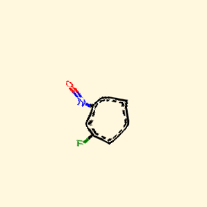 O=Nc1[c]cccc1F